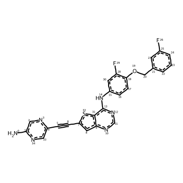 Nc1cnc(C#Cc2cc3ncnc(Nc4ccc(OCc5cccc(F)c5)c(F)c4)c3s2)cn1